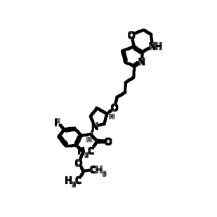 CC(=O)[C@H](c1cc(F)ccc1COC(C)C)N1CC[C@@H](OCCCCc2ccc3c(n2)NCCO3)C1